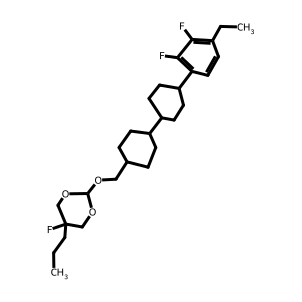 CCCC1(F)COC(OCC2CCC(C3CCC(c4ccc(CC)c(F)c4F)CC3)CC2)OC1